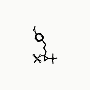 COc1ccc(CCCC2(OS(C)(=O)=O)CC2[Si](C)(C)C)cc1